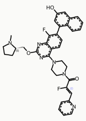 CN1CCC[C@H]1COc1nc(N2CCN(C(=O)/C(F)=C/c3ccccn3)CC2)c2ccc(-c3cc(O)cc4ccccc34)c(F)c2n1